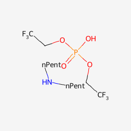 CCCCCNCCCCC.O=P(O)(OCC(F)(F)F)OCC(F)(F)F